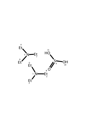 CCN(CC)CC.CCN(CC)CC.O=S(O)O